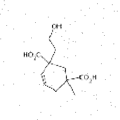 CC1(C(=O)O)CC=CC(CCO)(C(=O)O)C1